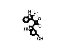 Cc1[nH]c2ccccc2c1-c1c(-c2c[nH]c3ccc(CO)cc23)c(=O)c1=O